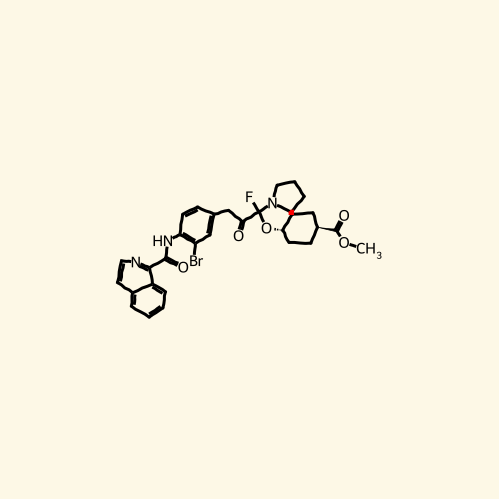 COC(=O)[C@H]1CC[C@H](OC(F)(C(=O)Cc2ccc(NC(=O)c3nccc4ccccc34)c(Br)c2)N2CCCC2)CC1